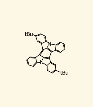 CC(C)(C)c1ccc2c(c1)c1c3c4ccccc4n4c5ccc(C(C)(C)C)cc5c(c5c6ccccc6n2c51)c34